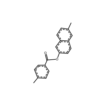 Cc1ccc(C(=O)Oc2ccc3cc(C)ccc3c2)cc1